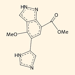 COC(=O)c1cc(-c2cnc[nH]2)c(OC)c2c[nH]nc12